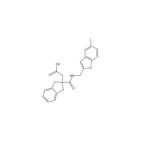 Cc1ccc2oc(CNC(=O)C3(CC(=O)O)Cc4ccccc4C3)cc2c1